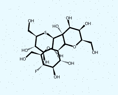 OC[C@H]1O[C]([C@@H]2O[C@H](CO)[C@@H](F)[C@H](O)[C@H]2O)[C@@](O)([C@@H]2S[C@H](CO)[C@@H](O)[C@H](O)[C@H]2O)[C@@H](O)[C@H]1O